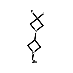 CC(C)(C)N1CC(N2CC(F)(F)C2)C1